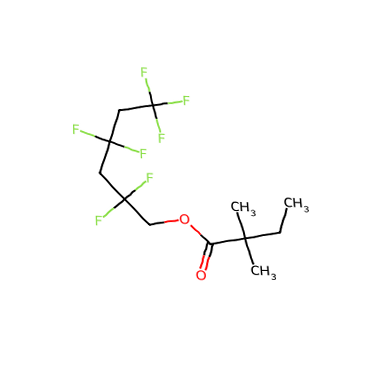 CCC(C)(C)C(=O)OCC(F)(F)CC(F)(F)CC(F)(F)F